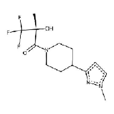 Cn1ccc(C2CCN(C(=O)[C@@](C)(O)C(F)(F)F)CC2)n1